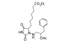 CCOC(=O)CCCCCCC1C(=O)NC(=O)N1NCC(Cc1ccccc1)OC(C)=O